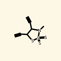 C#CC1SS(=S)(=S)N(C)C1C#C